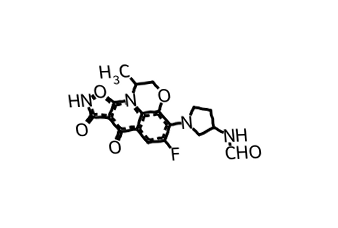 CC1COc2c(N3CCC(NC=O)C3)c(F)cc3c(=O)c4c(=O)[nH]oc4n1c23